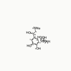 CNC[C@H](O)c1ccc(O)c(O)c1.O=S(=O)(O)O.O=S(=O)(O)O